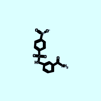 NC(=O)c1cccc(NS(=O)(=O)c2ccc([N+](=O)[O-])cc2)c1